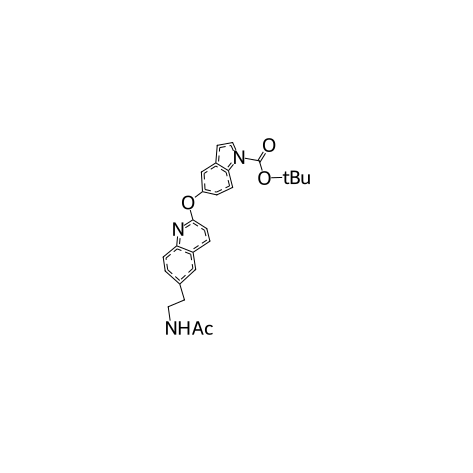 CC(=O)NCCc1ccc2nc(Oc3ccc4c(ccn4C(=O)OC(C)(C)C)c3)ccc2c1